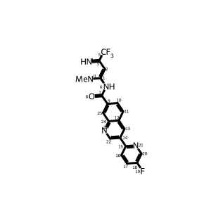 CN/C(=C\C(=N)C(F)(F)F)NC(=O)c1ccc2cc(-c3ccc(F)cn3)cnc2c1